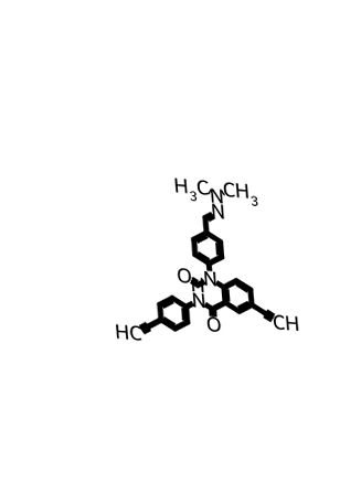 C#Cc1ccc(NC(=O)c2cc(C#C)ccc2N(C=O)c2ccc(C=NN(C)C)cc2)cc1